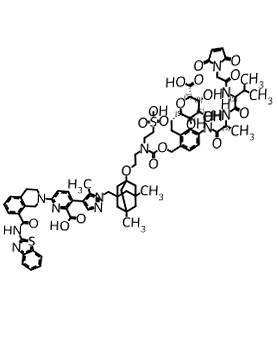 Cc1c(-c2ccc(N3CCc4cccc(C(=O)Nc5nc6ccccc6s5)c4C3)nc2C(=O)O)cnn1CC12CC3(C)CC(C)(C1)CC(OCCN(CCS(=O)(=O)O)C(=O)OCc1ccc(NC(=O)[C@H](C)NC(=O)[C@@H](NC(=O)CN4C(=O)C=CC4=O)C(C)C)cc1CC[C@@H]1O[C@H](C(=O)O)[C@H](O)[C@@H](O)[C@H]1O)(C3)C2